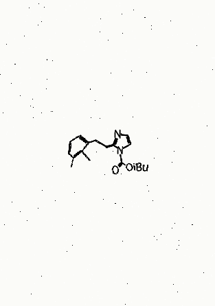 Cc1cccc(CCc2nccn2C(=O)OCC(C)C)c1C